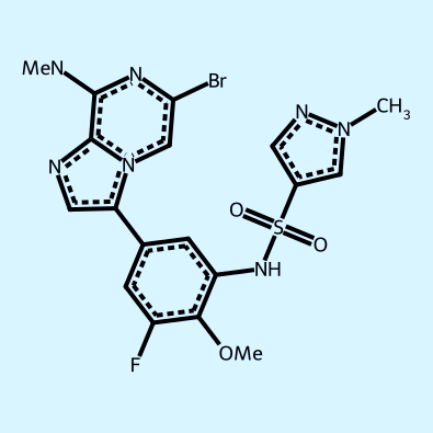 CNc1nc(Br)cn2c(-c3cc(F)c(OC)c(NS(=O)(=O)c4cnn(C)c4)c3)cnc12